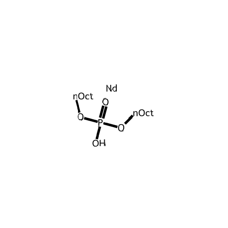 CCCCCCCCOP(=O)(O)OCCCCCCCC.[Nd]